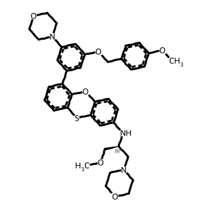 COC[C@H](CN1CCOCC1)Nc1ccc2c(c1)Sc1cccc(-c3cc(OCc4ccc(OC)cc4)cc(N4CCOCC4)c3)c1O2